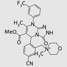 COC(=O)C1=C(C)N(c2cccc(C(F)(F)F)c2)c2n[nH]c(=O)n2C1c1ccc(C#N)cc1C[N+]1(C)CCOCC1